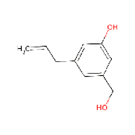 C=CCc1cc(O)cc(CO)c1